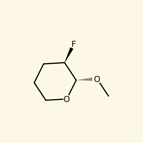 CO[C@@H]1OCCC[C@H]1F